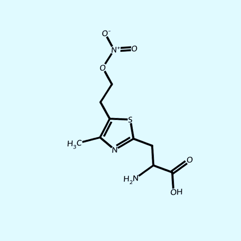 Cc1nc(CC(N)C(=O)O)sc1CCO[N+](=O)[O-]